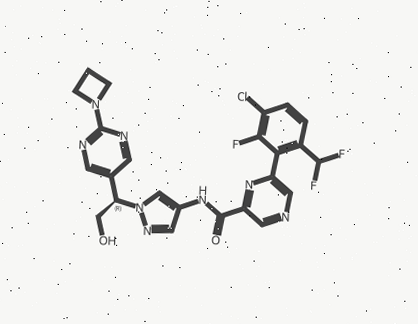 O=C(Nc1cnn([C@@H](CO)c2cnc(N3CCC3)nc2)c1)c1cncc(-c2c(C(F)F)ccc(Cl)c2F)n1